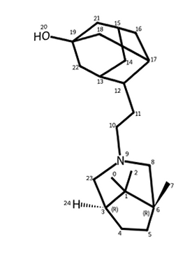 CC1(C)[C@H]2CC[C@@]1(C)CN(CCC1C3CC4CC1CC(O)(C4)C3)C2